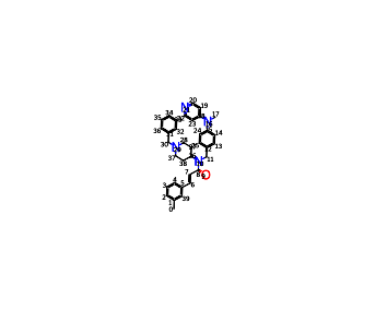 Cc1cccc(/C=C/C(=O)N(Cc2ccc(N(C)c3ccncc3)cc2)C2CCN(Cc3ccccc3)CC2)c1